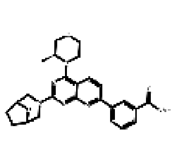 CNC(=O)c1cccc(-c2ccc3c(N4CCOC[C@@H]4C)nc(N4CC5CCC(C4)O5)nc3n2)c1